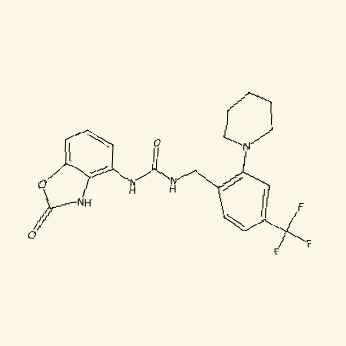 O=C(NCc1ccc(C(F)(F)F)cc1N1CCCCC1)Nc1cccc2oc(=O)[nH]c12